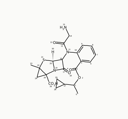 CC(OC(=O)c1ccccc1N(C(=O)CN)C1C(=O)N2[C@H]1SC1(C)CC21C(=O)O)C1CC1